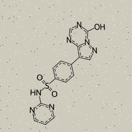 O=S(=O)(Nc1ncccn1)c1ccc(-c2cnn3c(O)ncnc23)cc1